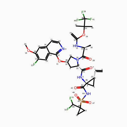 C=C[C@@H]1C[C@]1(NC(=O)[C@@H]1C[C@@H](Oc2nccc3cc(OC)c(F)cc23)CN1C(=O)[C@H](C)NC(=C)OC(C)(C)C(F)(F)F)C(=O)NS(=O)(=O)C1(C(F)F)CC1